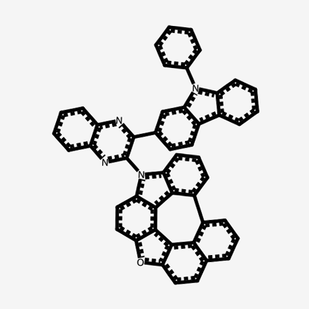 c1ccc(-n2c3ccccc3c3ccc(-c4nc5ccccc5nc4-n4c5cccc6c5c5c7c(ccc54)oc4ccc5cccc-6c5c47)cc32)cc1